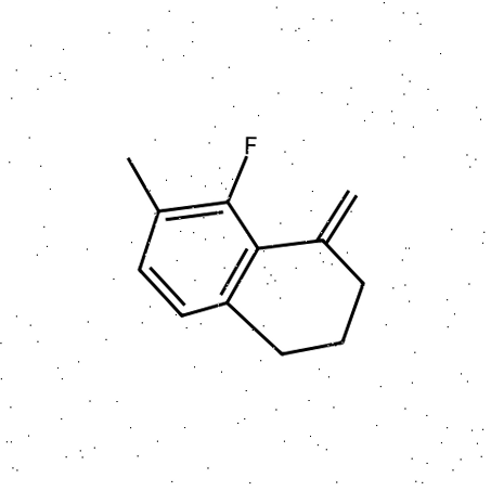 C=C1CCCc2ccc(C)c(F)c21